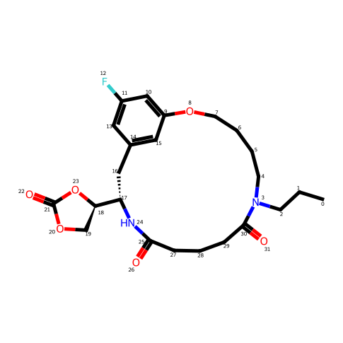 CCCN1CCCCOc2cc(F)cc(c2)C[C@@H]([C@H]2COC(=O)O2)NC(=O)CCCC1=O